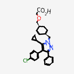 O=C(O)COC[C@H]1CC[C@@H](Cn2nc(-c3ccccc3)c(-c3ccc(Cl)cc3)c2C2CC2)CC1